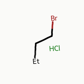 CCCCBr.Cl